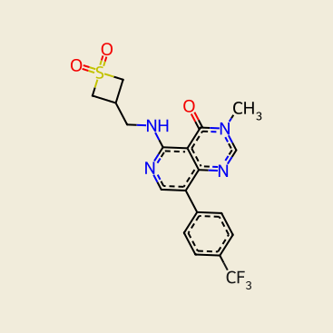 Cn1cnc2c(-c3ccc(C(F)(F)F)cc3)cnc(NCC3CS(=O)(=O)C3)c2c1=O